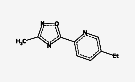 CCc1ccc(-c2nc(C)no2)nc1